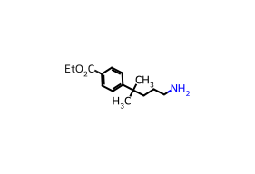 CCOC(=O)c1ccc(C(C)(C)CCCN)cc1